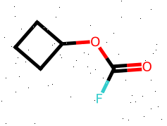 O=C(F)OC1CCC1